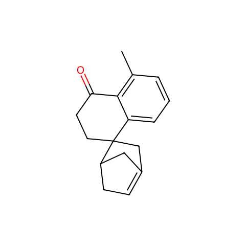 Cc1cccc2c1C(=O)CCC21CC2=CCC1C2